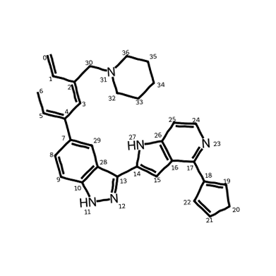 C=C/C(=C\C(=C/C)c1ccc2[nH]nc(-c3cc4c(C5=CCC=C5)nccc4[nH]3)c2c1)CN1CCCCC1